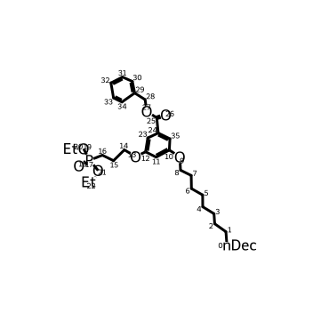 CCCCCCCCCCCCCCCCCCOc1cc(OCCCP(=O)(OCC)OCC)cc(C(=O)OCc2ccccc2)c1